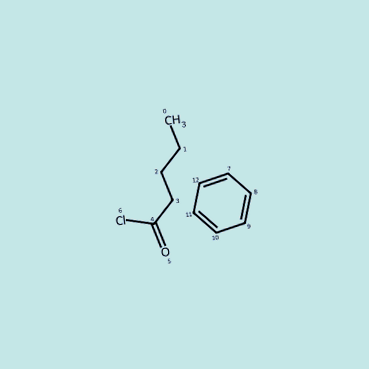 CCCCC(=O)Cl.c1ccccc1